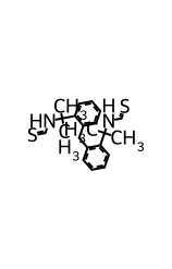 CC(C)(NC=S)c1ccccc1Cc1ccccc1C(C)(C)NC=S